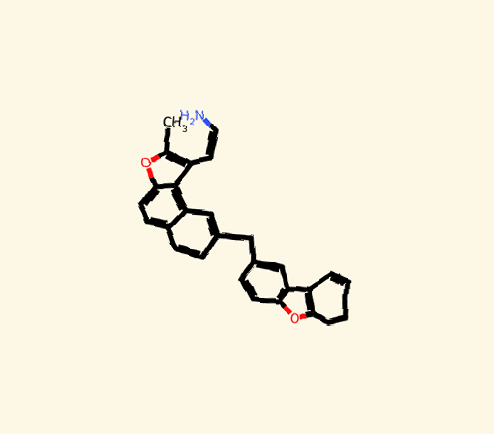 Cc1oc2ccc3ccc(Cc4ccc5oc6c(c5c4)C=CCC6)cc3c2c1/C=C\N